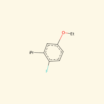 [CH2]C(C)c1cc(OCC)ccc1F